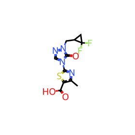 Cc1nc(-n2cnn(CC3CC3(F)F)c2=O)sc1C(=O)O